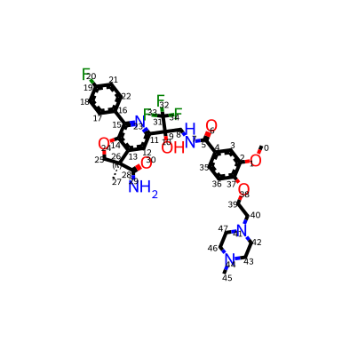 COc1cc(C(=O)NCC(O)(c2cc3c(c(-c4ccc(F)cc4)n2)OC[C@]3(C)C(N)=O)C(F)(F)F)ccc1OCCN1CCN(C)CC1